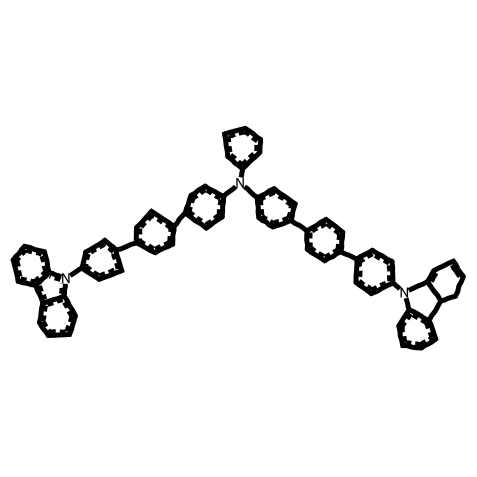 C1=CCC2C(=C1)N(c1ccc(-c3ccc(-c4ccc(N(c5ccccc5)c5ccc(-c6ccc(-c7ccc(-n8c9ccccc9c9ccccc98)cc7)cc6)cc5)cc4)cc3)cc1)c1ccccc12